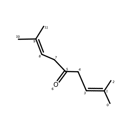 CC(C)=CCC(=O)CC=C(C)C